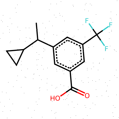 CC(c1cc(C(=O)O)cc(C(F)(F)F)c1)C1CC1